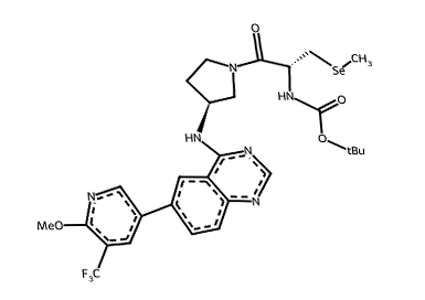 COc1ncc(-c2ccc3ncnc(N[C@H]4CCN(C(=O)[C@H](C[Se]C)NC(=O)OC(C)(C)C)C4)c3c2)cc1C(F)(F)F